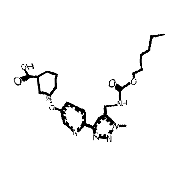 CCCCCCOC(=O)NCc1c(-c2ccc(O[C@H]3CCCC(C(=O)O)C3)cn2)nnn1C